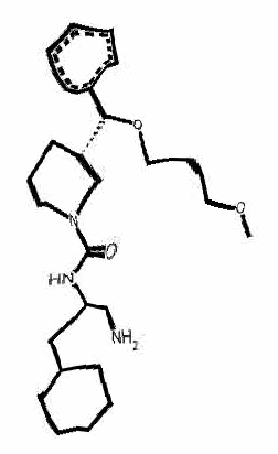 COCCCOC(c1ccccc1)[C@H]1CCCN(C(=O)NC(CN)CC2CCCCC2)C1